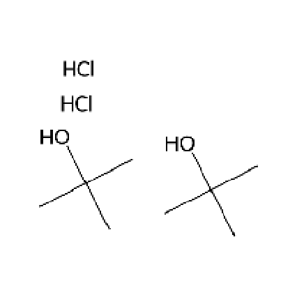 CC(C)(C)O.CC(C)(C)O.Cl.Cl